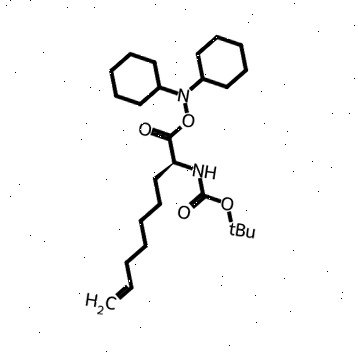 C=CCCCCC[C@H](NC(=O)OC(C)(C)C)C(=O)ON(C1CCCCC1)C1CCCCC1